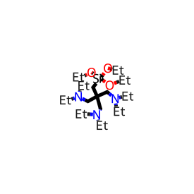 CCO[Si](CC(CN(CC)CC)(CN(CC)CC)CN(CC)CC)(OCC)OCC